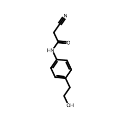 N#CCC(=O)Nc1ccc(CCO)cc1